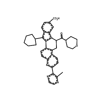 Cc1nccnc1-c1ccc2c3c(ccc2n1)-c1c(C2CCCCC2)c2ccc(C(=O)O)cc2n1C(C(=O)N1CCOCC1)C3